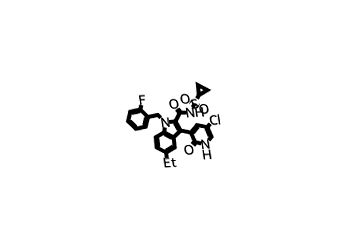 CCc1ccc2c(c1)c(-c1cc(Cl)c[nH]c1=O)c(C(=O)NS(=O)(=O)C1CC1)n2Cc1ccccc1F